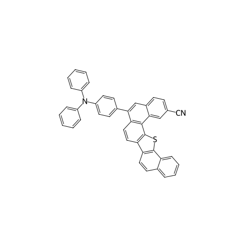 N#Cc1ccc2cc(-c3ccc(N(c4ccccc4)c4ccccc4)cc3)c3ccc4c5ccc6ccccc6c5sc4c3c2c1